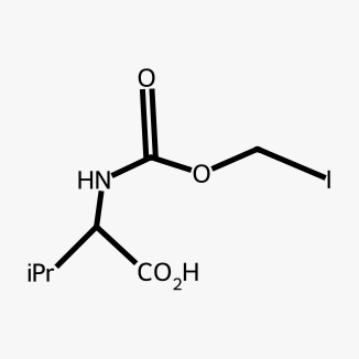 CC(C)C(NC(=O)OCI)C(=O)O